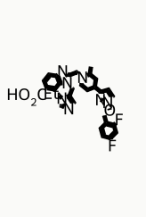 CCn1cncc1Cn1c(CN2CCC(c3ccn(OCc4ccc(F)cc4F)n3)CC2C)nc2ccc(C(=O)O)cc21